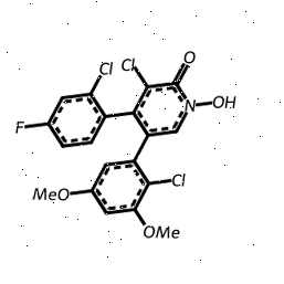 COc1cc(OC)c(Cl)c(-c2cn(O)c(=O)c(Cl)c2-c2ccc(F)cc2Cl)c1